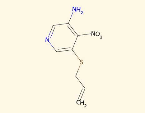 C=CCSc1cncc(N)c1[N+](=O)[O-]